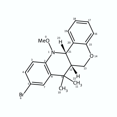 CON1c2ccc(Br)cc2C(C)(C)[C@H]2COc3ccccc3[C@H]21